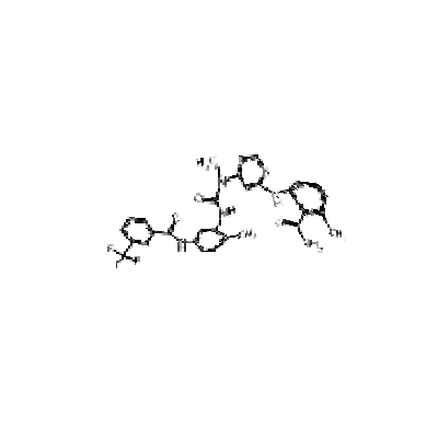 Cc1ccc(NC(=O)c2cccc(C(F)(F)F)c2)cc1NC(=O)N(C)c1cc(Nc2cccc(C)c2C(N)=O)ncn1